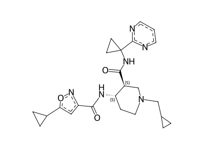 O=C(N[C@H]1CCN(CC2CC2)C[C@@H]1C(=O)NC1(c2ncccn2)CC1)c1cc(C2CC2)on1